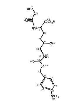 CC(C)(C)OC(=O)NC(CCC(O)CNC(=O)OCc1ccc([N+](=O)[O-])cc1)C(=O)O